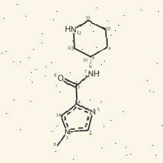 Cn1cnc(C(=O)N[C@H]2CCCNC2)c1